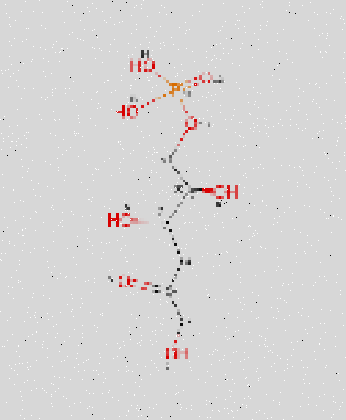 O=C(CO)C[C@H](O)[C@H](O)COP(=O)(O)O